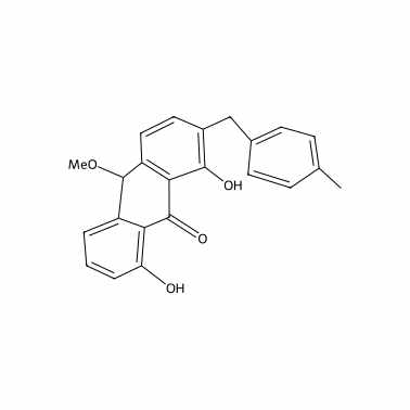 COC1c2cccc(O)c2C(=O)c2c1ccc(Cc1ccc(C)cc1)c2O